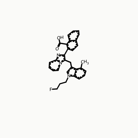 Cc1cccc2c1c(Cc1c(-c3ccc4ccccc4c3C(=O)O)nc3ccccn13)cn2CCCF